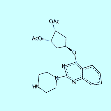 CC(=O)O[C@H]1C[C@H](Oc2nc(N3CCNCC3)nc3ccccc23)C[C@H]1OC(C)=O